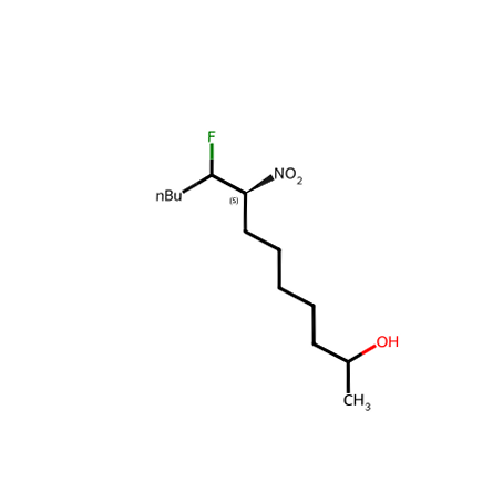 CCCCC(F)[C@H](CCCCCC(C)O)[N+](=O)[O-]